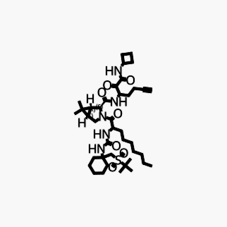 C#CCCC(NC(=O)[C@@H]1[C@@H]2[C@H](CN1C(=O)C(CCCCCCC)NC(=O)NC1(CS(=O)(=O)C(C)(C)C)CCCCC1)C2(C)C)C(=O)C(=O)NC1CCC1